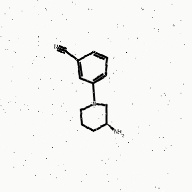 N#Cc1cccc(N2CCC[C@H](N)C2)c1